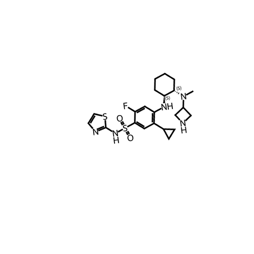 CN(C1CNC1)[C@H]1CCCC[C@@H]1Nc1cc(F)c(S(=O)(=O)Nc2nccs2)cc1C1CC1